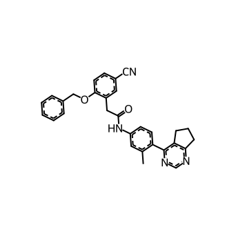 Cc1cc(NC(=O)Cc2cc(C#N)ccc2OCc2ccccc2)ccc1-c1ncnc2c1CCC2